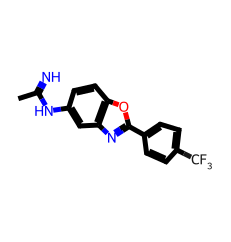 CC(=N)Nc1ccc2oc(-c3ccc(C(F)(F)F)cc3)nc2c1